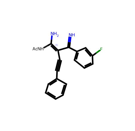 CC(=O)N/C(N)=C(\C#Cc1ccccc1)C(=N)c1cccc(F)c1